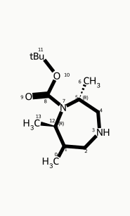 CC1CNC[C@@H](C)N(C(=O)OC(C)(C)C)[C@@H]1C